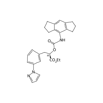 CCOC(=O)[C@@H](Cc1cccc(-n2cccn2)c1)OC(=O)Nc1c2c(cc3c1CCC3)CCC2